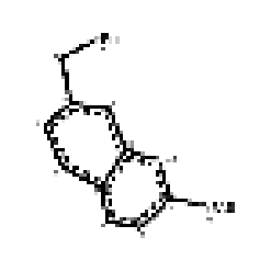 CNc1ccc2ccc(CC(C)(C)C)cc2n1